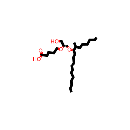 CCCCCCCCCCCC(OC[C@H](CO)OCCCCC(=O)O)C(C)CCCCCC